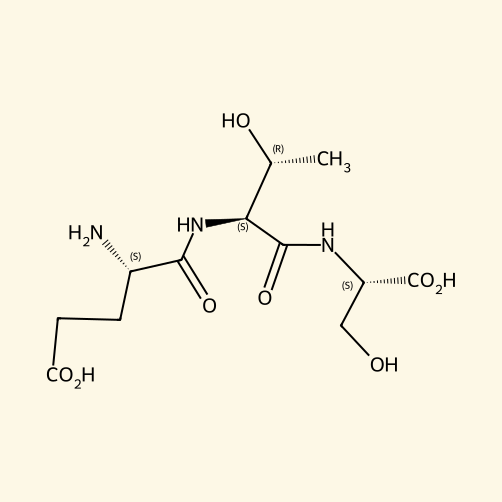 C[C@@H](O)[C@H](NC(=O)[C@@H](N)CCC(=O)O)C(=O)N[C@@H](CO)C(=O)O